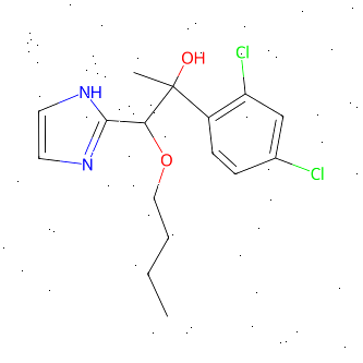 CCCCOC(c1ncc[nH]1)C(C)(O)c1ccc(Cl)cc1Cl